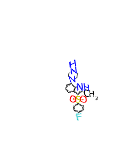 Cc1[nH]c2c(N3CCNCC3)cccc2c1S(=O)(=O)c1ccc(F)cc1